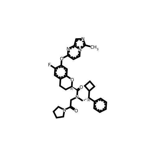 Cc1ncc2nc(Oc3cc4c(cc3F)CC[C@H](C(=O)N(CC(=O)N3CCCC3)C[C@@H](c3ccccc3)C3CCC3)O4)ccn12